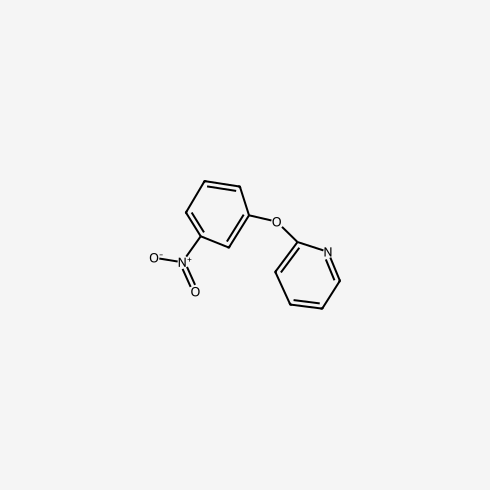 O=[N+]([O-])c1cccc(Oc2ccccn2)c1